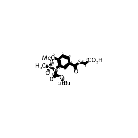 COc1ccc(C(=O)SCC(=O)O)cc1N(C(=O)OC(C)(C)C)S(C)(=O)=O